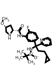 CO[C@H]1CN[C@@H](C(=O)Nc2cc(C(CCC3CC3)(N[S+]([O-])C(C)(C)C)c3ccccn3)ccc2F)C1